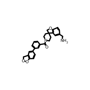 NCc1ccc2c(c1)C1(CCN(C(=O)c3cccc(-c4ccc5c(c4)COO5)c3)CC1)CO2